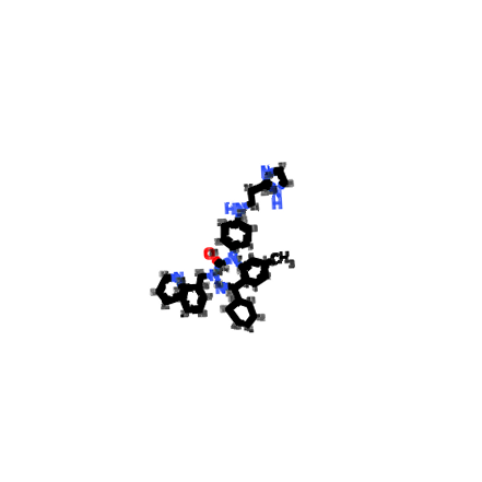 Cc1ccc2c(c1)N(c1ccc(NCCc3ncc[nH]3)cc1)C(=O)N(Cc1cccc3cccnc13)N=C2C1CCCCC1